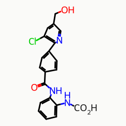 O=C(O)Nc1ccccc1NC(=O)c1ccc(-c2ncc(CO)cc2Cl)cc1